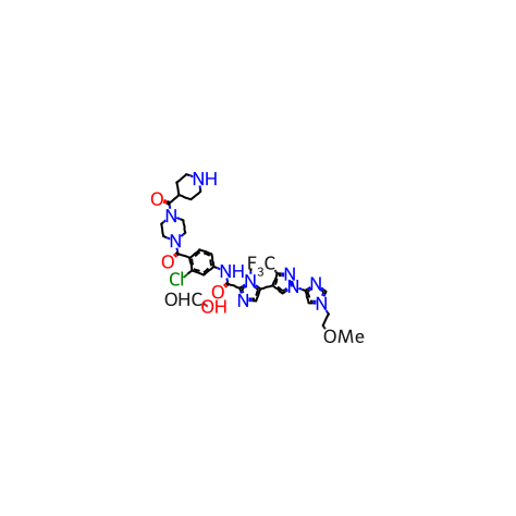 COCCn1cnc(-n2cc(-c3cnc(C(=O)Nc4ccc(C(=O)N5CCN(C(=O)C6CCNCC6)CC5)c(Cl)c4)n3C)c(C(F)(F)F)n2)c1.O=CO